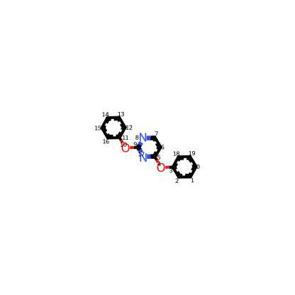 c1ccc(Oc2ccnc(Oc3ccccc3)n2)cc1